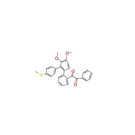 COc1ccc(-c2ccccc2C(=O)C(=O)c2ccccc2)c(-c2ccc(SC)cc2)c1OC